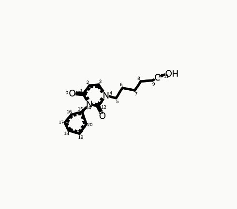 O=c1ccn(CCCCCCO)c(=O)n1-c1ccccc1